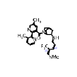 CN/C=C(\C=C/CNC1CC2CC1N(C(=O)c1cc(C)cnc1-c1ncccc1C)C2)C(F)(F)F